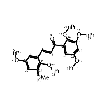 CCCOc1cc(C=CC(=O)c2cc(OCCC)cc(OCCC)c2OCCC)c(OCCC)c(OC)c1